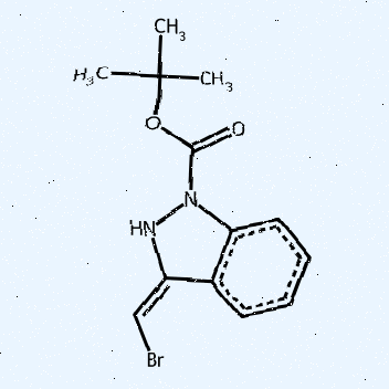 CC(C)(C)OC(=O)N1N/C(=C/Br)c2ccccc21